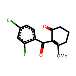 COC1=C(C(=O)c2ccc(Cl)cc2Cl)C(=O)CCC1